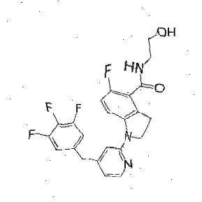 O=C(NCCO)c1c(F)ccc2c1CCN2c1cc(Cc2cc(F)c(F)c(F)c2)ccn1